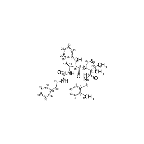 Cc1ccccc1CNC(=O)[C@H]1N(C(=O)[C@@H](O)[C@H](Cc2ccccc2)NC(=O)NCCc2ccccc2)CSC1(C)C